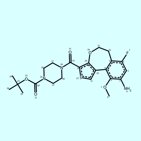 COc1c(N)cc(F)c2c1-c1csc(C(=O)N3CCN(C(=O)OC(C)(C)C)CC3)c1OCC2